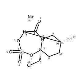 O=C1N2OS(=O)(=O)O[C@]3(CCl)CC[C@@H]2CN13.[Na]